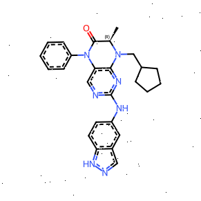 C[C@@H]1C(=O)N(c2ccccc2)c2cnc(Nc3ccc4[nH]ncc4c3)nc2N1CC1CCCC1